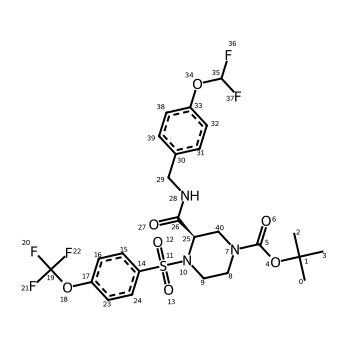 CC(C)(C)OC(=O)N1CCN(S(=O)(=O)c2ccc(OC(F)(F)F)cc2)[C@@H](C(=O)NCc2ccc(OC(F)F)cc2)C1